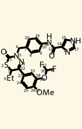 CCC1SC(=O)N(Cc2ccc(NC(=O)c3c[nH]cn3)cc2)N=C1c1ccc(OC)c(OC(F)F)c1